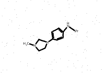 CC(C)Nc1ccc(N2CCN(C)C2)cc1